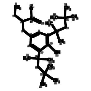 CCC(Cc1cc(C(C)(C)CC(C)(C)C)c(O)c(C(C)(C)CC(C)(C)C)c1)[N+](=O)[O-]